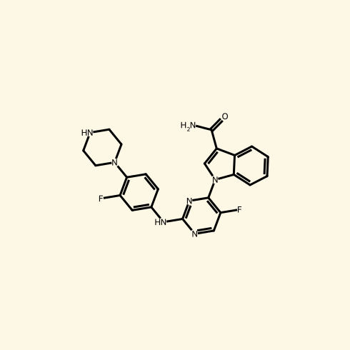 NC(=O)c1cn(-c2nc(Nc3ccc(N4CCNCC4)c(F)c3)ncc2F)c2ccccc12